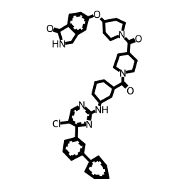 O=C1NCc2cc(OC3CCN(C(=O)C4CCN(C(=O)C5CCCC(Nc6ncc(Cl)c(-c7cccc(-c8ccccc8)c7)n6)C5)CC4)CC3)ccc21